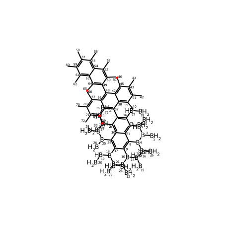 BBB(B)B(B(B)B)c1c(B(B(B)B)B(B)B)c(B(BB)B(B)B)c(B(B)B(B)B)c2c(B(B)BB)c(-c3c4c(C)c(C)c(C)c(C)c4c(-c4c(C)c(C)c5c(C)c(C)c(C)c(C)c5c4C)c4c(C)c(C)c(C)c(C)c34)c(BB)c(B)c12